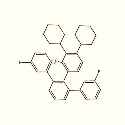 Fc1cccc(-c2cccc(-c3cccc(F)c3)c2-c2ccc(C3CCCCC3)c(C3CCCCC3)c2P)c1